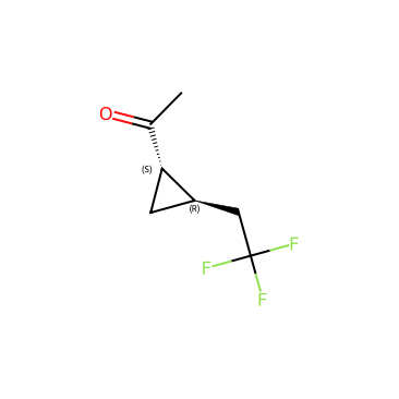 CC(=O)[C@H]1C[C@@H]1CC(F)(F)F